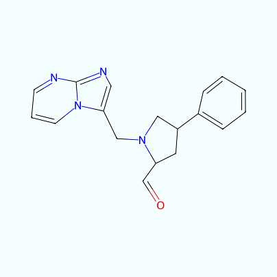 O=CC1CC(c2ccccc2)CN1Cc1cnc2ncccn12